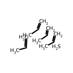 C=CC.C=CC.C=CC.C=CC.S